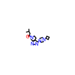 CC(C)CC(=O)N1CCc2c(ncnc2N2CCN(C3CCC3)CC2)C1